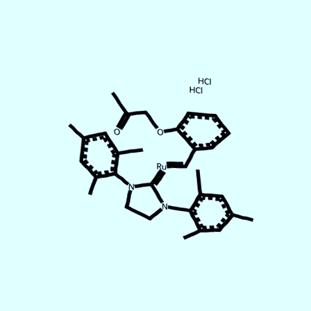 CC(=O)COc1ccccc1[CH]=[Ru]=[C]1N(c2c(C)cc(C)cc2C)CCN1c1c(C)cc(C)cc1C.Cl.Cl